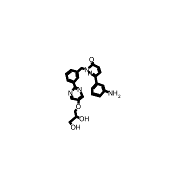 Nc1cccc(-c2ccc(=O)n(Cc3cccc(-c4ncc(OCC(O)CO)cn4)c3)n2)c1